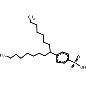 CCCCCCCCC(CCCCCCC)c1ccc(S(=O)(=O)O)cc1